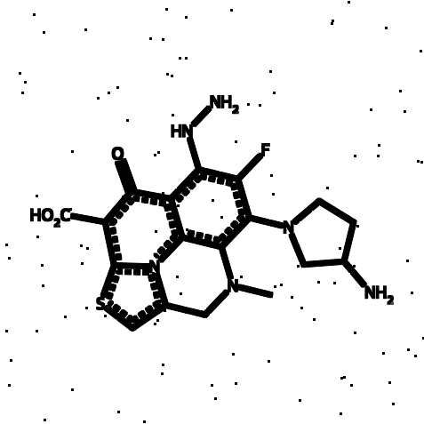 CN1Cc2csc3c(C(=O)O)c(=O)c4c(NN)c(F)c(N5CCC(N)C5)c1c4n23